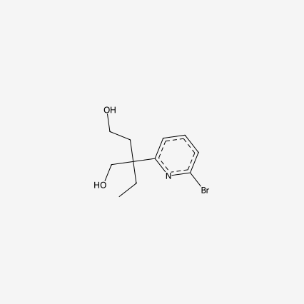 CCC(CO)(CCO)c1cccc(Br)n1